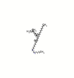 CCCCC/C=C\C/C=C\CCCCCCCC(=O)OCCC(CCCCCCCCCCCC)OC(=O)OCCCN(C)CC